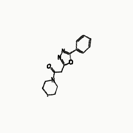 O=C(Cc1nnc(-c2ccccc2)o1)N1CC[CH]CC1